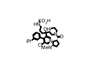 CN[C@H]1CC[C@@H](C(=O)N2CCC[C@@H]([C@@](O)(CCCNC(=O)O)c3cncc(Cl)c3-c3cccc(C(C)C)c3)C2)C1